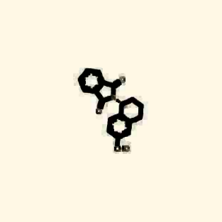 O=Cc1ccc2c(c1)CCC[C@H]2N1C(=O)c2ccccc2C1=O